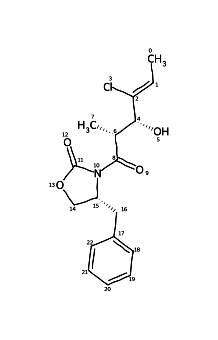 C/C=C(\Cl)[C@H](O)[C@@H](C)C(=O)N1C(=O)OC[C@H]1Cc1ccccc1